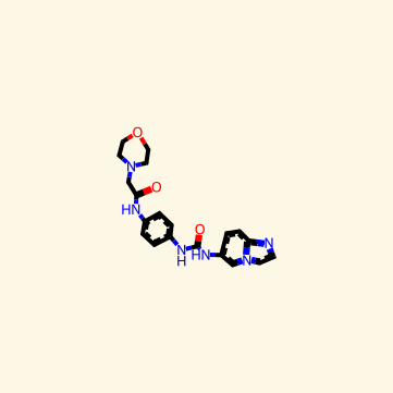 O=C(CN1CCOCC1)Nc1ccc(NC(=O)Nc2ccc3nccn3c2)cc1